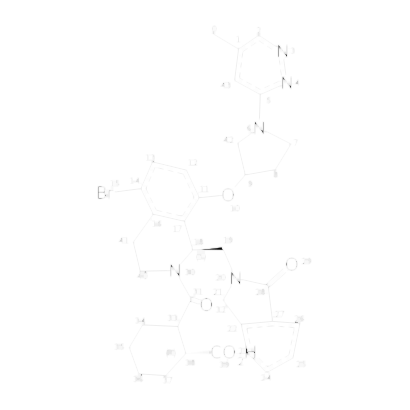 Cc1cnnc(N2CCC(Oc3ccc(Br)c4c3[C@@H](CN3Cc5ccccc5C3=O)N(C(=O)C3CCCC[C@H]3C(=O)O)CC4)C2)c1